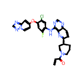 C=CC(=O)N1CCCC(c2ccc3ncnc(Nc4cc(Cl)c(Oc5ccn6ncnc6c5)cc4F)c3n2)CC1